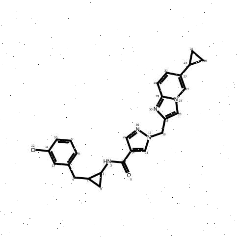 O=C(NC1CC1Cc1cccc(Cl)c1)c1cnn(Cc2cn3cc(C4CC4)ccc3n2)c1